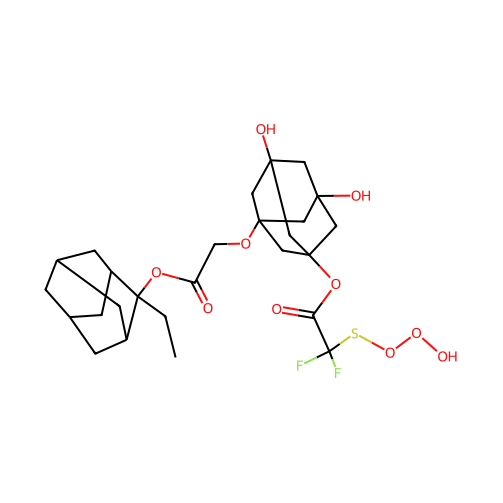 CCC1(OC(=O)COC23CC4(O)CC(O)(C2)CC(OC(=O)C(F)(F)SOOO)(C4)C3)C2CC3CC(C2)CC1C3